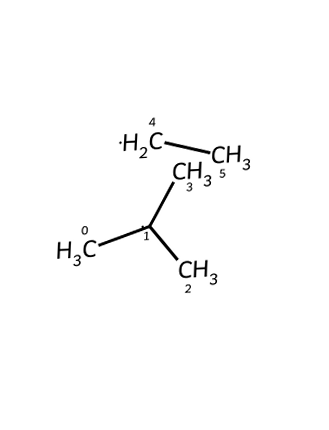 C[C](C)C.[CH2]C